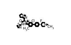 CCN1CC[C@H](c2ccc(-c3cc(C)c4cn(C(C(=O)Nc5nccs5)c5ncn6c5CCC6)nc4c3Cl)cc2)[C@@H](F)C1